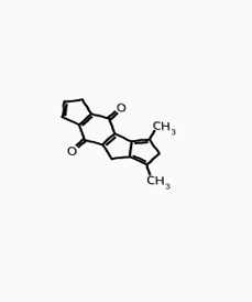 CC1=C2CC3=C(C(=O)C4=C(C=CC4)C3=O)C2=C(C)C1